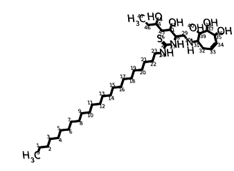 CCCCCCCCCCCCCCCCCCCCCCCCNC(=S)NC(CNC1CC=CC(O)C(O)C1O)C(O)CC(O)CC